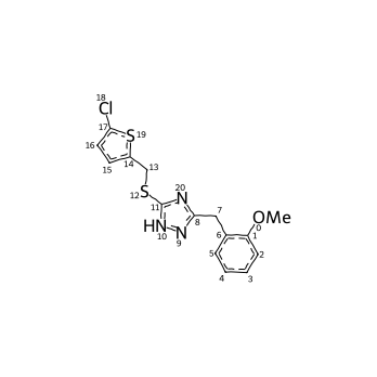 COc1ccccc1Cc1n[nH]c(SCc2ccc(Cl)s2)n1